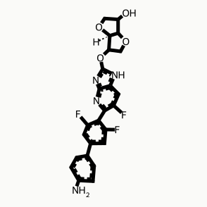 Nc1ccc(-c2cc(F)c(-c3nc4nc(OC5COC6C(O)CO[C@H]56)[nH]c4cc3F)c(F)c2)cc1